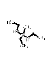 CCN[Si](C)(CC)NCC